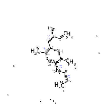 C=C/C(Br)=C\C(NC(=C)/C=N\C=C/C)=C(/C)NC